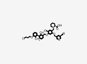 Cc1c(COc2cc(OCc3cncc(C#N)c3)c(CN3CCCC[C@H]3C(=O)O)cc2Cl)cccc1-c1cccc(OCCCCl)c1C